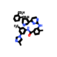 Cc1cn(-c2cc(NC(=O)c3ccc(C)c(Nc4nccc(-c5cccnc5)n4)c3)cc(C(F)(F)F)c2)cn1.O=C(O)c1ccccc1C(=O)O